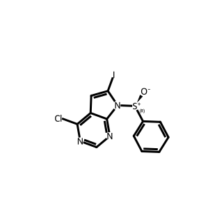 [O-][S@@+](c1ccccc1)n1c(I)cc2c(Cl)ncnc21